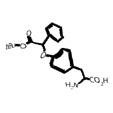 CC(C)(C)OC(=O)C(Oc1ccc(CC(N)C(=O)O)cc1)c1ccccc1